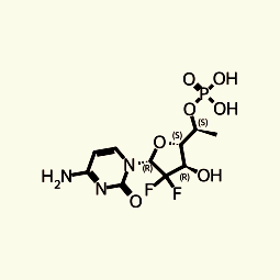 C[C@H](OP(=O)(O)O)[C@H]1O[C@@H](n2ccc(N)nc2=O)C(F)(F)[C@@H]1O